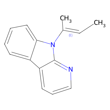 C/C=C(\C)n1c2ccccc2c2cccnc21